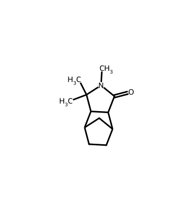 CN1C(=O)C2C3CCC(C3)C2C1(C)C